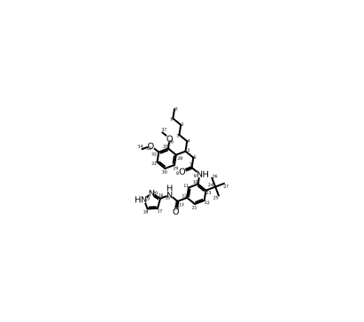 CCCCCC(CC(=O)Nc1cc(C(=O)Nc2cc[nH]n2)ccc1C(C)(C)C)c1cccc(OC)c1OC